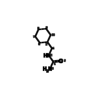 NC(=O)NC[C]1CCCCC1